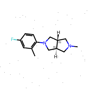 Cc1cc(F)ccc1N1C[C@@H]2CN(C)C[C@H]2C1